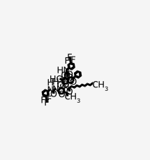 CCCCCCCCCCC(=O)N[C@H]1C(CC)OCC(NC(=O)Nc2cccc(C(F)(F)F)c2)[C@H]1O[C@H]1OC2COC(c3ccccc3)O[C@@H]2[C@H](OC(=O)Nc2cccc(C(F)(F)F)c2)C1O